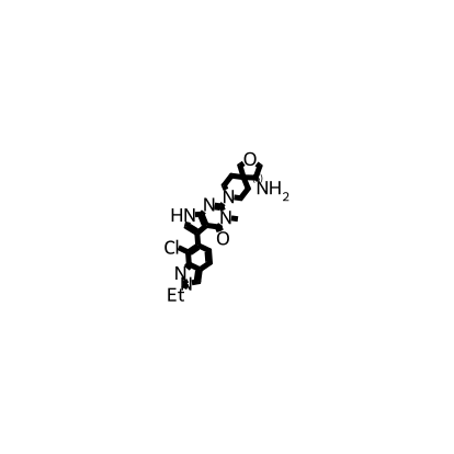 CCn1cc2ccc(-c3c[nH]c4nc(N5CCC6(CC5)COC[C@H]6N)n(C)c(=O)c34)c(Cl)c2n1